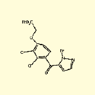 CCOC(=O)COc1ccc(C(=O)c2ccnn2CC)c(Cl)c1Cl